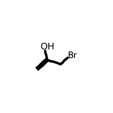 C=C(O)CBr